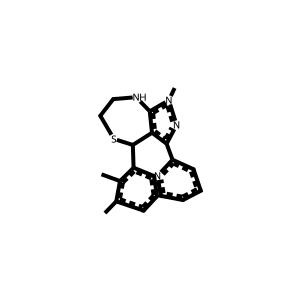 Cc1cccc(C2SCCNc3c2c(-c2ccccn2)nn3C)c1C